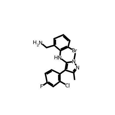 Cc1nn(C)c(Nc2c(Br)cccc2CN)c1-c1ccc(F)cc1Cl